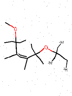 [2H]CC([2H])([2H])OC(C)(C)/C(C)=C(/C)C(C)(C)OC